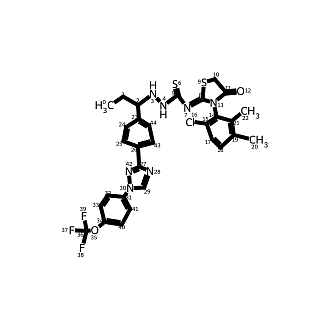 CCC(NNC(=S)/N=C1\SCC(=O)N1c1c(Cl)ccc(C)c1C)c1ccc(-c2ncn(-c3ccc(OC(F)(F)F)cc3)n2)cc1